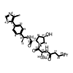 Cc1ncsc1-c1ccc([C@H](C)NC(=O)[C@@H]2C[C@@H](O)CN2C(=O)[C@@H](NC(=O)CCC(C)C)C(C)(C)C)cc1